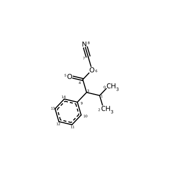 CC(C)C(C(=O)OC#N)c1ccccc1